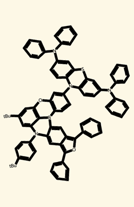 CC(C)(C)c1ccc(N2c3cc4c(-c5ccccc5)oc(-c5ccccc5)c4cc3B3c4ccc(N5c6ccc(N(c7ccccc7)c7ccccc7)cc6Sc6cc(N(c7ccccc7)c7ccccc7)ccc65)cc4Oc4cc(C(C)(C)C)cc2c43)cc1